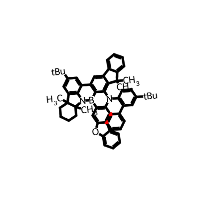 CC(C)(C)c1ccc(N2c3cc4c(cc3B3c5c(cc6c(c52)C(C)(C)c2ccccc2-6)-c2cc(C(C)(C)C)cc5c2N3C2(C)CCCCC52C)oc2ccccc24)c(-c2ccccc2)c1